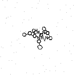 CC1(C)c2ccc(C3=CCCC=C3)cc2-c2ccc(N(c3ccc(C4=CCCCC=C4)cc3)c3ccc(-n4c5c(c6ccc(C7=C(N)C=CCC7)cc64)C=CCC5)cc3)cc21